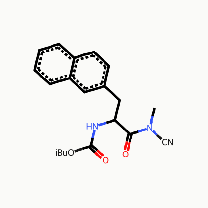 CC(C)COC(=O)NC(Cc1ccc2ccccc2c1)C(=O)N(C)C#N